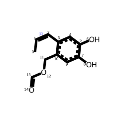 C/C=C\c1cc(O)c(O)cc1COC=O